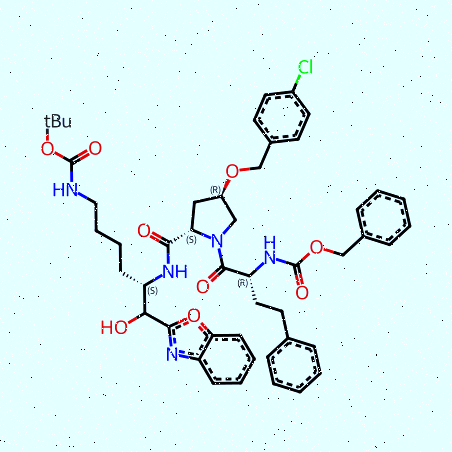 CC(C)(C)OC(=O)NCCCC[C@H](NC(=O)[C@@H]1C[C@@H](OCc2ccc(Cl)cc2)CN1C(=O)[C@@H](CCc1ccccc1)NC(=O)OCc1ccccc1)C(O)c1nc2ccccc2o1